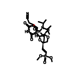 COP(=O)(/C=C/[C@@]12CO[C@@H](C(n3ccc(=O)[nH]c3=O)O1)[C@H](P(OCCC#N)N(C(C)C)C(C)C)C2)OC